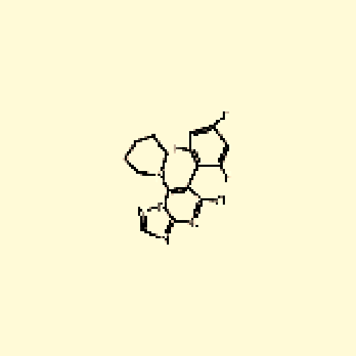 Fc1cc(F)c(-c2c(Cl)nc3ncnn3c2N2CCCCC2)c(F)c1